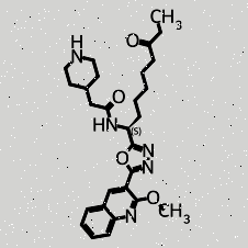 CCC(=O)CCCCC[C@H](NC(=O)CC1CCNCC1)c1nnc(-c2cc3ccccc3nc2OC)o1